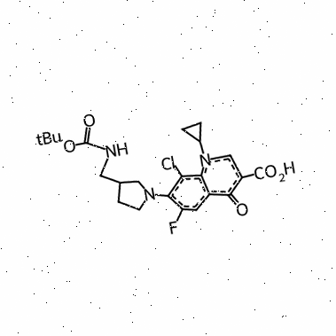 CC(C)(C)OC(=O)NCC1CCN(c2c(F)cc3c(=O)c(C(=O)O)cn(C4CC4)c3c2Cl)C1